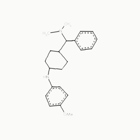 COc1ccc(NC2CCC(C(c3ccccc3)N(C)C)CC2)cc1